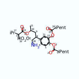 CCCC(C)C(=O)Oc1ccc(C(CC(C)OC(=O)C(C)C(C)C)[C@H](N)C(=O)O)cc1OC(=O)C(C)CCC